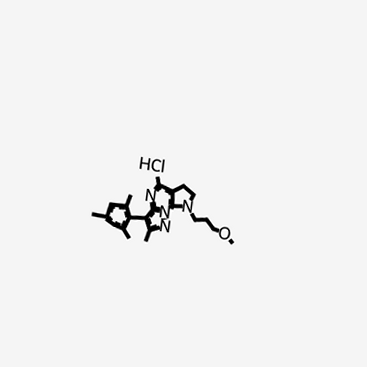 COCCCN1CCc2c(C)nc3c(-c4c(C)cc(C)cc4C)c(C)nn3c21.Cl